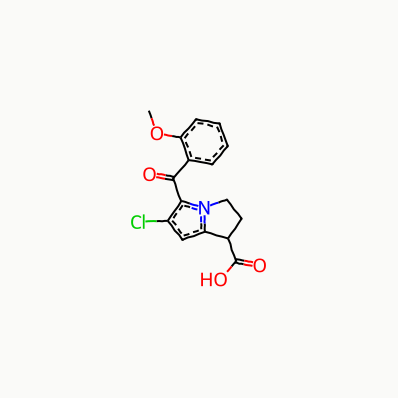 COc1ccccc1C(=O)c1c(Cl)cc2n1CCC2C(=O)O